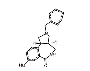 O=C1NC[C@@H]2CN(Cc3ccccc3)C[C@H]2c2ccc(O)cc21